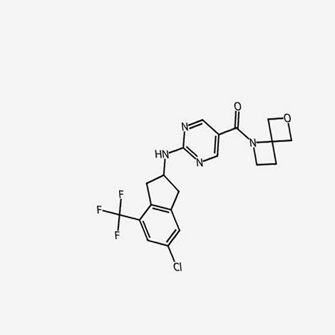 O=C(c1cnc(NC2Cc3cc(Cl)cc(C(F)(F)F)c3C2)nc1)N1CCC12COC2